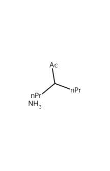 CCCC(CCC)C(C)=O.N